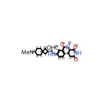 CN[C@H]1CCC2(CC1)C[C@H](CNc1cccc(C(=O)N(C)C3CCC(=O)NC3=O)c1C=O)C2